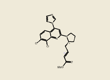 COC(=O)/C=C/C[C@@H]1CCCN1c1cc(-n2ccnc2)c2ccc(Cl)c(Cl)c2n1